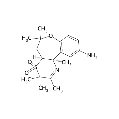 CC1=N[C@]2(C)c3cc(N)ccc3OC(C)(C)C[C@@H]2S(=O)(=O)C1(C)C